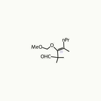 CCC/C(C)=C(\OCOC)C(C)(C)C=O